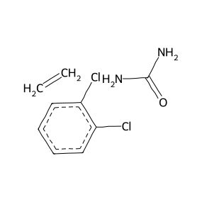 C=C.Clc1ccccc1Cl.NC(N)=O